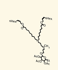 CCCCCC/C=C\COC(=O)CCCCCCCCN(CCCCCCCCC(=O)OC/C=C\CCCCCC)CCCN(C)CCCOC1OC(CC)C(OC(C)=O)C(OC(C)=O)C1OC(C)=O